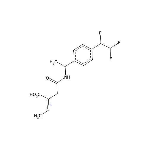 C/C=C(/CC(=O)NC(C)c1ccc(C(F)C(F)F)cc1)C(=O)O